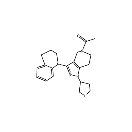 CC(=O)N1CCc2c(c(N3CCCc4ccccc43)nn2C2CCOC2)C1